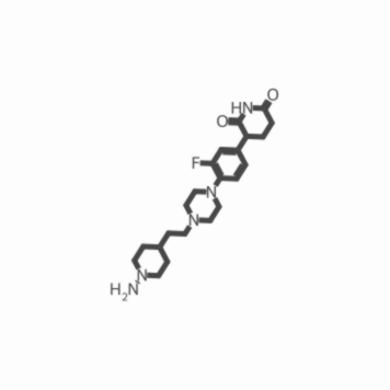 NN1CCC(CCN2CCN(c3ccc(C4CCC(=O)NC4=O)cc3F)CC2)CC1